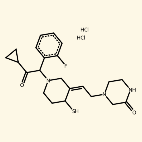 Cl.Cl.O=C1CN(C/C=C2/CN(C(C(=O)C3CC3)c3ccccc3F)CCC2S)CCN1